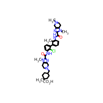 Cc1c(NC(=O)c2nc3c(n2C)CCN(C)C3)cccc1-c1cccc(NC(=O)c2nc3c(n2C)CCN(CC2CCC(C)(C(=O)O)CC2)C3)c1Cl